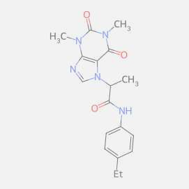 CCc1ccc(NC(=O)C(C)n2cnc3c2c(=O)n(C)c(=O)n3C)cc1